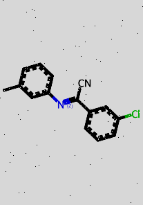 Cc1cccc(/N=C(\C#N)c2cccc(Cl)c2)c1